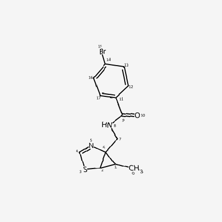 CC1C2SC=NC12CNC(=O)c1ccc(Br)cc1